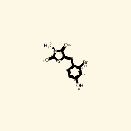 CN1C(=O)S/C(=C\c2ccc(O)cc2Br)C1=O